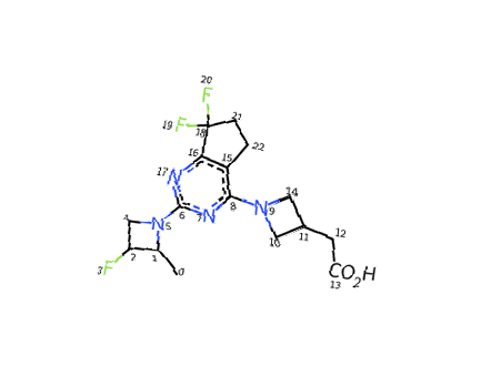 CC1C(F)CN1c1nc(N2CC(CC(=O)O)C2)c2c(n1)C(F)(F)CC2